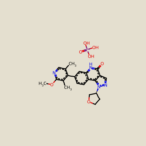 COc1ncc(C)c(-c2ccc3c(c2)[nH]c(=O)c2cnn([C@H]4CCOC4)c23)c1C.O=P(O)(O)O